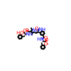 COC(=O)[C@H](Cc1ccccc1)NC(=O)c1ccc2c(c1)C(=Cc1[nH]c(C)c(C(=O)N[C@@H](Cc3ccccc3)C(=O)O)c1C)C(=O)N2